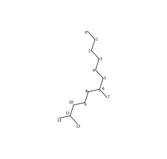 CCCCCC[C](C)CCCC(C)C